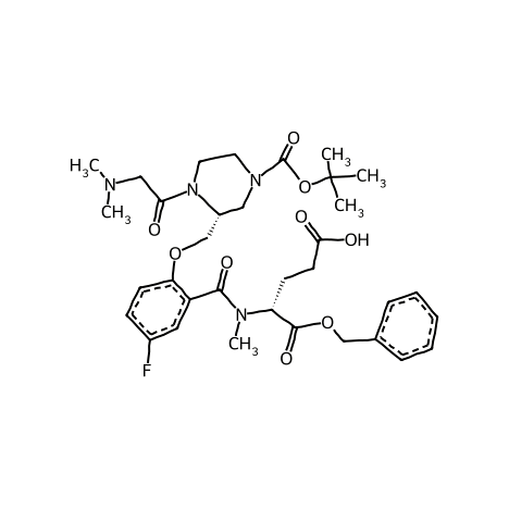 CN(C)CC(=O)N1CCN(C(=O)OC(C)(C)C)C[C@@H]1COc1ccc(F)cc1C(=O)N(C)[C@H](CCC(=O)O)C(=O)OCc1ccccc1